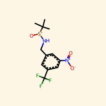 CC(C)(C)[S+]([O-])NCc1cc([N+](=O)[O-])cc(C(F)(F)F)c1